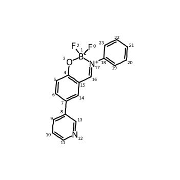 F[B-]1(F)Oc2ccc(-c3cccnc3)cc2C=[N+]1c1ccccc1